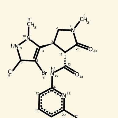 CN1C[C@H](C2=C(Br)C(Cl)NN2C)[C@@H](C(=O)Nc2cccc(F)n2)C1=O